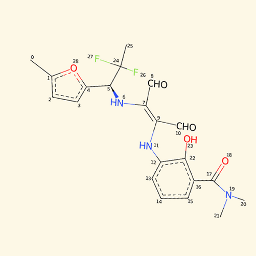 Cc1ccc([C@H](N/C(C=O)=C(/C=O)Nc2cccc(C(=O)N(C)C)c2O)C(C)(F)F)o1